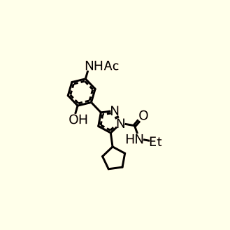 CCNC(=O)n1nc(-c2cc(NC(C)=O)ccc2O)cc1C1CCCC1